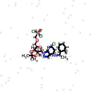 C[C@H](Nc1cc(Cl)nc2c1cnn2[C@@H]1O[C@H](COCP(=O)(Cl)Cl)[C@H]2OC(C)(C)O[C@H]21)c1ccccc1F